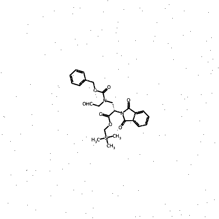 C[Si](C)(C)COC(=O)[C@H](CN(CC=O)C(=O)OCc1ccccc1)N1C(=O)c2ccccc2C1=O